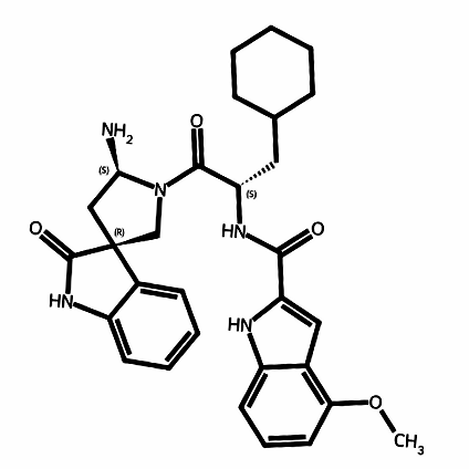 COc1cccc2[nH]c(C(=O)N[C@@H](CC3CCCCC3)C(=O)N3C[C@]4(C[C@H]3N)C(=O)Nc3ccccc34)cc12